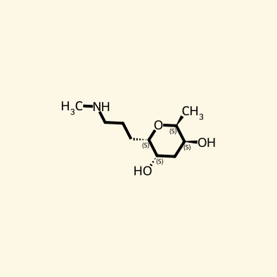 CNCCC[C@@H]1O[C@@H](C)[C@@H](O)C[C@@H]1O